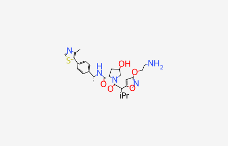 Cc1ncsc1-c1ccc([C@@H](C)NC(=O)[C@@H]2C[C@@H](O)CN2C(=O)C(c2cc(OCCN)no2)C(C)C)cc1